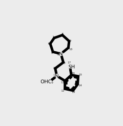 O=CN(CCN1CCCCCC1)c1ccccc1S